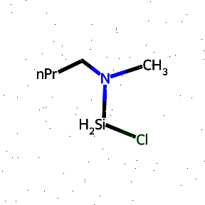 CCCCN(C)[SiH2]Cl